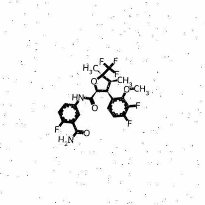 COc1c([C@H]2[C@@H](C(=O)Nc3ccc(F)c(C(N)=O)c3)O[C@@](C)(C(F)(F)F)[C@H]2C)ccc(F)c1F